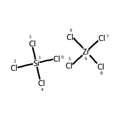 Cl[Si](Cl)(Cl)Cl.[Cl][Zr]([Cl])([Cl])[Cl]